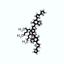 CCCCC(CC)CC1(CC(CC)CCCC)c2cc(-c3c(F)cc(-c4ccc(-c5cccs5)s4)c4nsnc34)sc2-c2sc(-c3c(F)cc(-c4ccc(-c5cccs5)s4)c4nsnc34)cc21